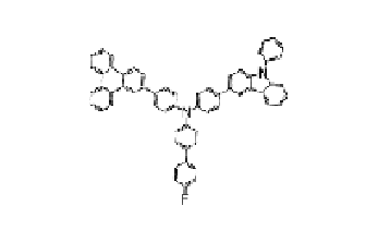 Fc1ccc(-c2ccc(N(c3ccc(-c4ccc5c6ccccc6c6ccccc6c5c4)cc3)c3ccc(-c4ccc5c(c4)c4ccccc4n5-c4ccccc4)cc3)cc2)cc1